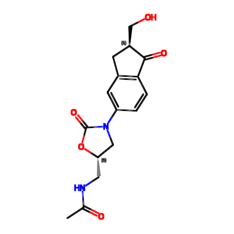 CC(=O)NC[C@H]1CN(c2ccc3c(c2)C[C@@H](CO)C3=O)C(=O)O1